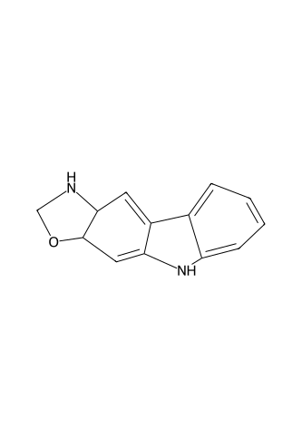 C1=c2[nH]c3ccccc3c2=CC2NCOC12